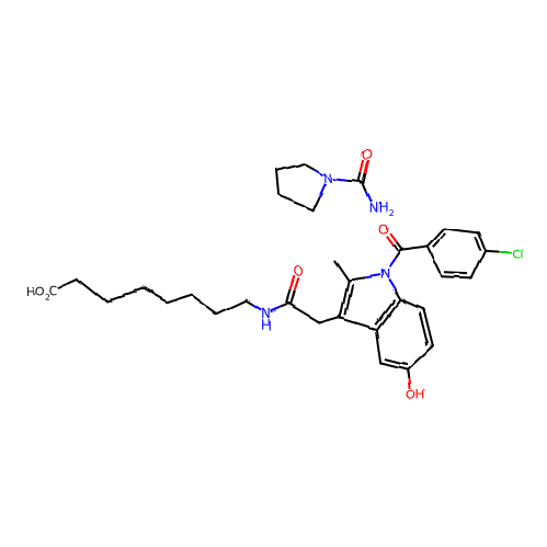 Cc1c(CC(=O)NCCCCCCCC(=O)O)c2cc(O)ccc2n1C(=O)c1ccc(Cl)cc1.NC(=O)N1CCCC1